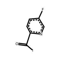 O=C(I)c1ccc(F)cn1